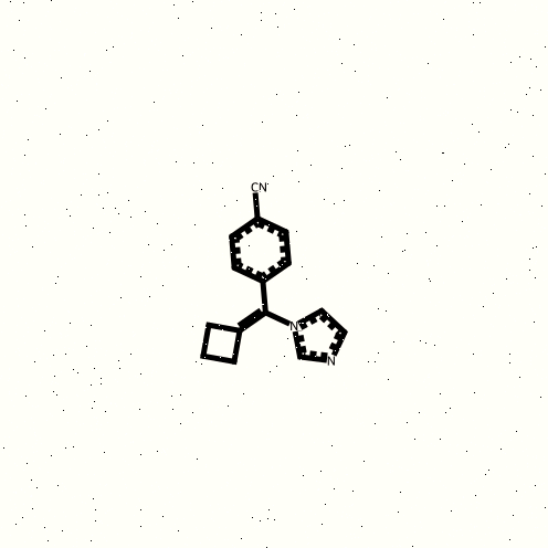 N#Cc1ccc(C(=C2CCC2)n2ccnc2)cc1